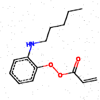 C=CC(=O)OOc1ccccc1NCCCCC